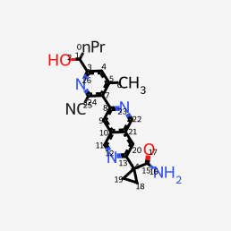 CCCC(O)c1cc(C)c(-c2cc3cnc(C4(C(N)=O)CC4)cc3cn2)c(C#N)n1